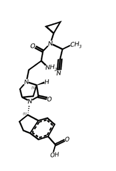 CC(C#N)N(C(=O)C(N)CN1CC2C[C@H]1C(=O)N2[C@H]1CCc2cc(C(=O)O)ccc21)C1CC1